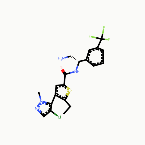 CCc1sc(C(=O)N[C@H](CN)c2cccc(C(F)(F)F)c2)cc1-c1c(Cl)cnn1C